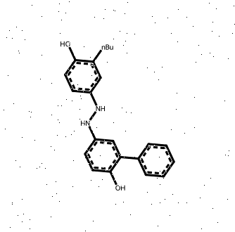 CCCCc1cc(NNc2ccc(O)c(-c3ccccc3)c2)ccc1O